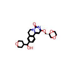 O=c1nc(OC[C@H]2COCCO2)cc2n1CCc1cc(C(O)C3CCOCC3)ccc1-2